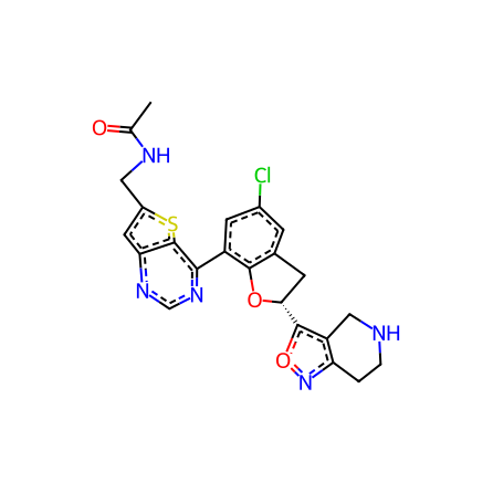 CC(=O)NCc1cc2ncnc(-c3cc(Cl)cc4c3O[C@@H](c3onc5c3CNCC5)C4)c2s1